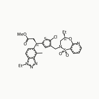 CC[C@@H]1CN(Cc2cc([C@H](CC(=O)OC)c3ccc4c(nnn4CC)c3C)sc2Cl)S(=O)(=O)c2cccnc2O1